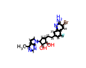 Cc1ncnc2c1ccn2C1C=C(CCc2cc(F)c3cc(Br)c(N)nc3c2)C(O)C1O